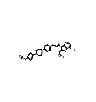 CCc1nn2c(C)ccnc2c1C(=O)NCc1ccc(N2CCC(c3ccc(OC(F)(F)F)cc3)CC2)cc1